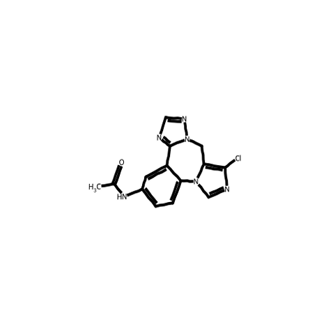 CC(=O)Nc1ccc2c(c1)-c1ncnn1Cc1c(Cl)ncn1-2